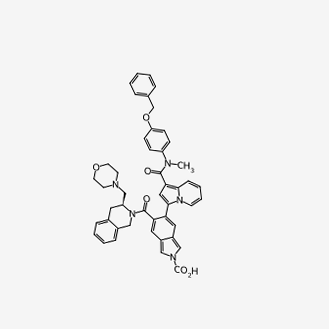 CN(C(=O)c1cc(-c2cc3cn(C(=O)O)cc3cc2C(=O)N2Cc3ccccc3C[C@H]2CN2CCOCC2)n2ccccc12)c1ccc(OCc2ccccc2)cc1